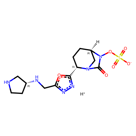 O=C1N2C[C@@H](CC[C@H]2c2nnc(CN[C@@H]3CCNC3)o2)N1OS(=O)(=O)[O-].[H+]